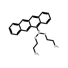 CCCO[SiH](OCCC)c1c2ccccc2cc2cc3ccccc3cc12